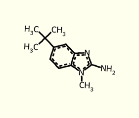 Cn1c(N)nc2cc(C(C)(C)C)ccc21